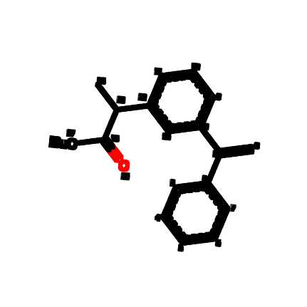 C=C(c1ccccc1)c1cccc(C(C)C(=O)OCC(C)C)c1